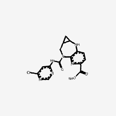 COC(=O)c1ccc2c(n1)N(C(=O)Nc1cc(Cl)ncn1)CC1CC1N2